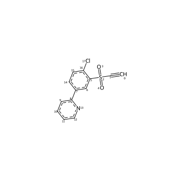 C#CS(=O)(=O)c1cc(-c2ccccn2)ccc1Cl